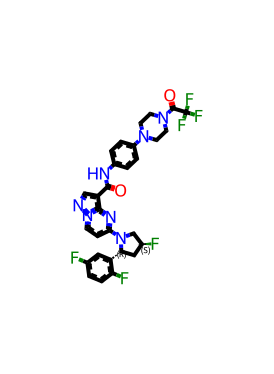 O=C(Nc1ccc(N2CCN(C(=O)C(F)(F)F)CC2)cc1)c1cnn2ccc(N3C[C@@H](F)C[C@@H]3c3cc(F)ccc3F)nc12